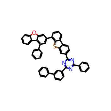 c1ccc(-c2cccc(-c3nc(-c4ccccc4)nc(-c4ccc5c(c4)sc4c(-c6cc(-c7ccccc7)c7c(c6)oc6ccccc67)cccc45)n3)c2)cc1